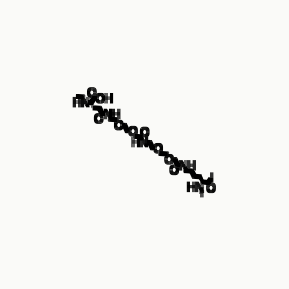 CCN[C@@H](CCC(=O)NCCOCCOCC(=O)NCCOCCOCC(=O)NCCCC[C@H](NI)C(=O)I)C(=O)O